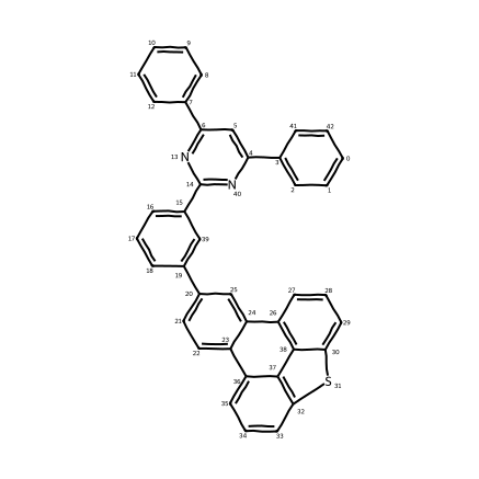 c1ccc(-c2cc(-c3ccccc3)nc(-c3cccc(-c4ccc5c(c4)c4cccc6sc7cccc5c7c64)c3)n2)cc1